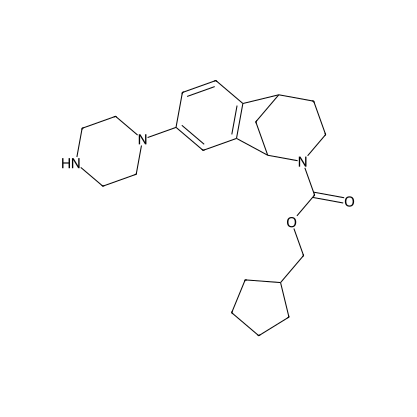 O=C(OCC1CCCC1)N1CCC2CC1c1cc(N3CCNCC3)ccc12